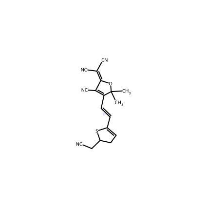 CC1(C)OC(=C(C#N)C#N)C(C#N)=C1/C=C/C1=CCC(CC#N)S1